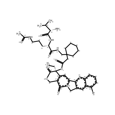 CC[C@@]1(OC(=O)CC2(CNC(=O)[C@H](CCCNC(N)=O)NC(=O)[C@@H](N)C(C)C)CCCCC2)C(=O)OCc2c1cc1n(c2=O)Cc2cc3c(Br)cccc3nc2-1